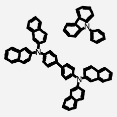 c1ccc(-n2c3ccccc3c3ccccc32)cc1.c1ccc2cc(N(c3ccc(-c4ccc(N(c5ccc6ccccc6c5)c5ccc6ccccc6c5)cc4)cc3)c3ccc4ccccc4c3)ccc2c1